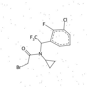 O=C(CBr)N(C1CC1)C(c1cccc(Cl)c1F)C(F)(F)F